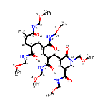 CCCOCNC(=O)C(C)CC(CC(CC(CC(CC(CC)C(=O)NCOCCC)C(=O)NCOCCC)C(=O)NCOCCC)C(=O)NCOCCC)C(=O)NCOCCC